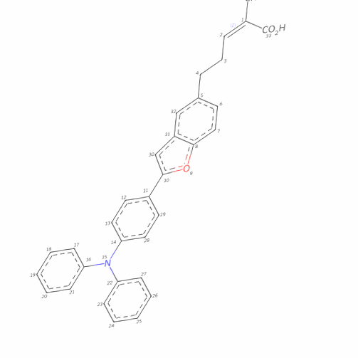 N#C/C(=C/CCc1ccc2oc(-c3ccc(N(c4ccccc4)c4ccccc4)cc3)cc2c1)C(=O)O